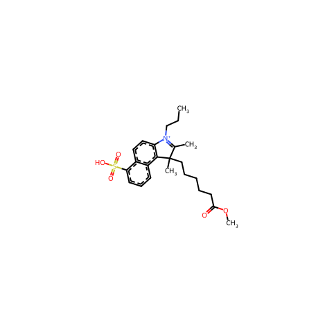 CCC[N+]1=C(C)C(C)(CCCCCC(=O)OC)c2c1ccc1c(S(=O)(=O)O)cccc21